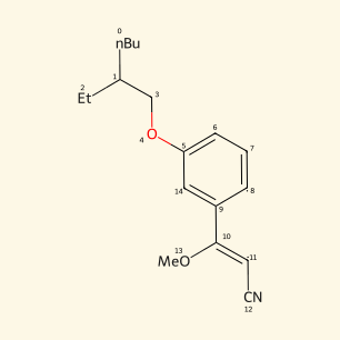 CCCCC(CC)COc1cc[c]c(C(=[C]C#N)OC)c1